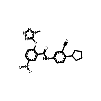 Cn1nnnc1Sc1ccc([N+](=O)[O-])cc1C(=O)Nc1ccc(C2CCCC2)c(C#N)c1